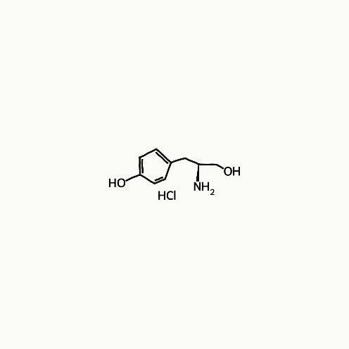 Cl.N[C@H](CO)Cc1ccc(O)cc1